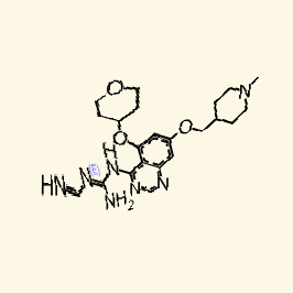 CN1CCC(COc2cc(OC3CCOCC3)c3c(N/C(N)=N/C=N)ncnc3c2)CC1